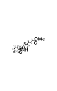 COC(=O)CCCc1ccc(NS(=O)(=O)c2ccccc2)cn1